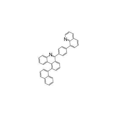 c1ccc2c(-c3cccc4c(-c5ccc(-c6cccc7cccnc67)cc5)nc5ccccc5c34)cccc2c1